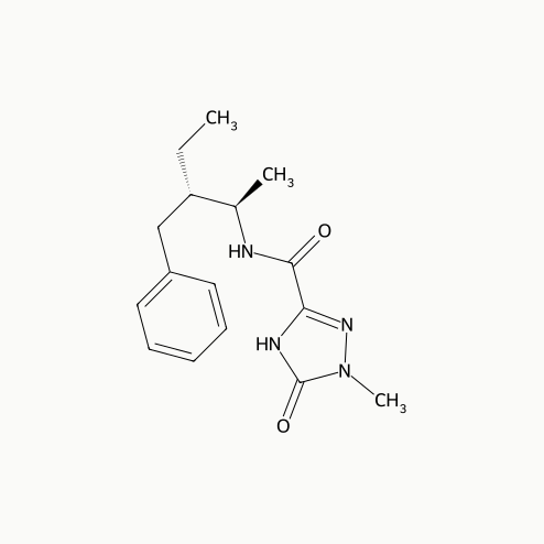 CC[C@@H](Cc1ccccc1)[C@@H](C)NC(=O)c1nn(C)c(=O)[nH]1